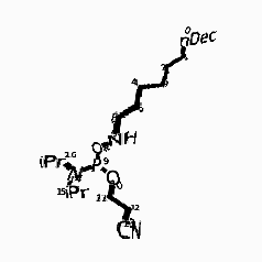 CCCCCCCCCCCCCCCCNOP(OCCC#N)N(C(C)C)C(C)C